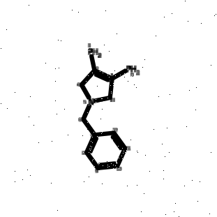 PC1=C(P)CN(Cc2ccccc2)C1